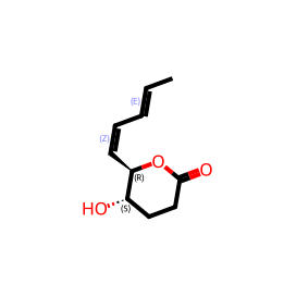 C/C=C/C=C\[C@H]1OC(=O)CC[C@@H]1O